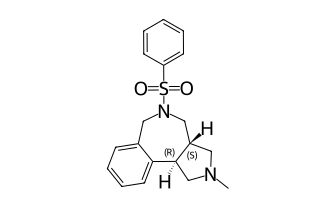 CN1C[C@H]2CN(S(=O)(=O)c3ccccc3)Cc3ccccc3[C@@H]2C1